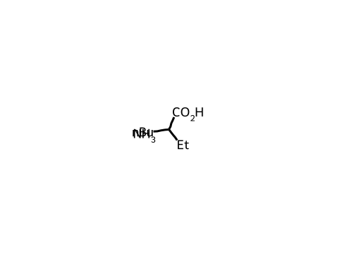 CCCCC(CC)C(=O)O.N